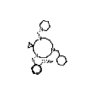 COc1ccccc1SN1CCCN(CC2CCCCC2)CCCN(SN2CCCCC2)CC2(CC2)C1